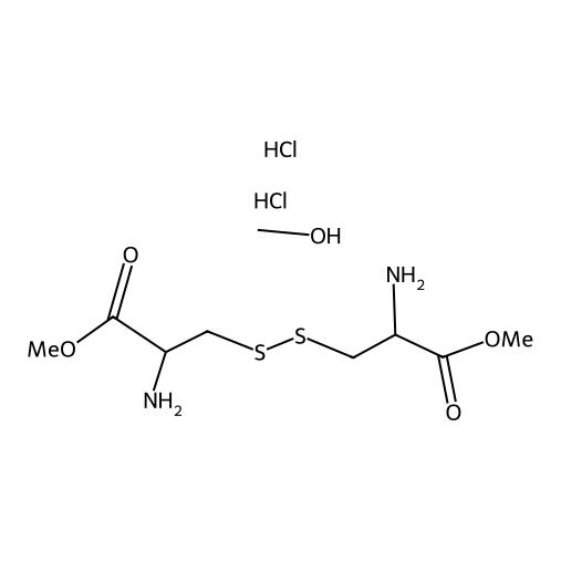 CO.COC(=O)C(N)CSSCC(N)C(=O)OC.Cl.Cl